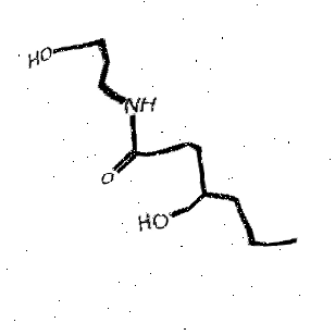 CCCC(O)CC(=O)NCCO